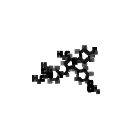 COc1ccc(-c2c(CN3CC[Si](C)(C)CC3)cc(C)n2-c2ccc(F)cc2)cc1